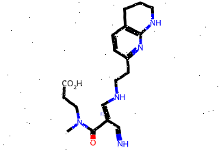 CN(CCC(=O)O)C(=O)/C(C=N)=C/NCCc1ccc2c(n1)NCCC2